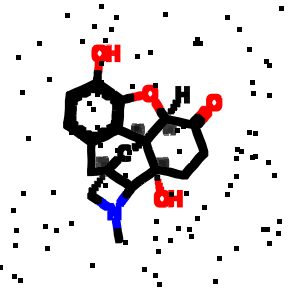 CN1C[C@]23Cc4ccc(O)c5c4[C@@]4(C2)[C@@H](O5)C(=O)CC[C@@]4(O)C13